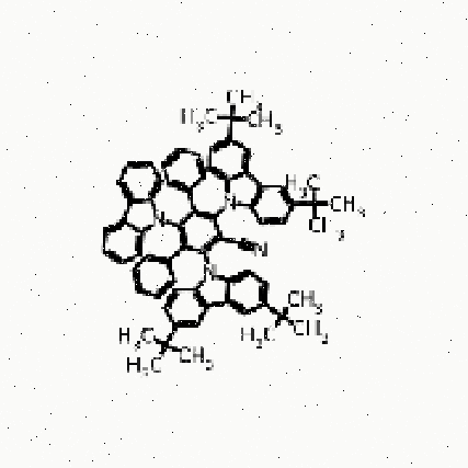 CC(C)(C)c1ccc2c(c1)c1cc(C(C)(C)C)ccc1n2-c1c(C#N)c(-n2c3ccc(C(C)(C)C)cc3c3cc(C(C)(C)C)ccc32)c(-c2ccccc2)c(-n2c3ccccc3c3ccccc32)c1-c1ccccc1